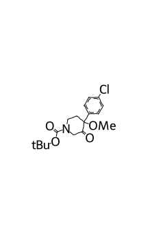 COC1(c2ccc(Cl)cc2)CCN(C(=O)OC(C)(C)C)CC1=O